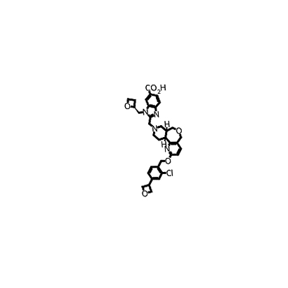 O=C(O)c1ccc2nc(CN3CC[C@H]4c5nc(OCc6ccc(C7COC7)cc6Cl)ccc5COC[C@H]4C3)n(C[C@@H]3CCO3)c2c1